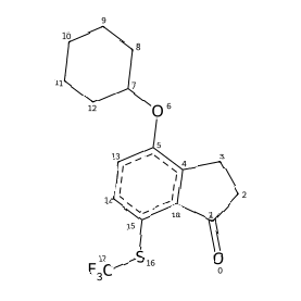 O=C1CCc2c(OC3CCCCC3)ccc(SC(F)(F)F)c21